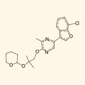 Cc1nc(-c2coc3c(Cl)cccc23)cnc1OCC(C)(C)OC1CCCCO1